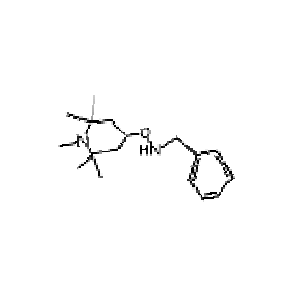 CN1C(C)(C)CC(ONCc2ccccc2)CC1(C)C